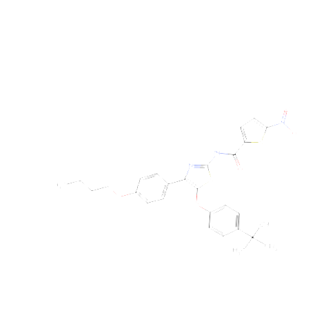 CCCCOc1ccc(-c2nc(NC(=O)c3ccc([N+](=O)[O-])s3)sc2Oc2ccc(C(C)(C)C)cc2)cc1